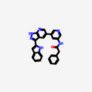 O=C(Cc1ccccc1)Nc1cncc(-c2cnc3[nH]nc(-c4cc5ccccc5[nH]4)c3c2)c1